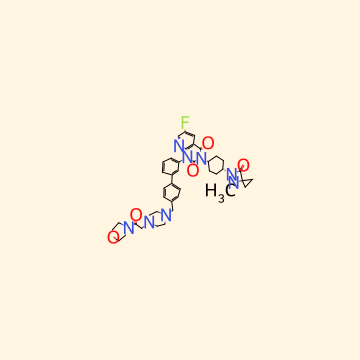 CN1N([C@H]2CC[C@@H](n3c(=O)c4cc(F)cnc4n(-c4cccc(-c5ccc(CN6CCN(CC(=O)N7CCOCC7)CC6)cc5)c4)c3=O)CC2)C(=O)C12CC2